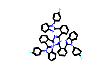 Fc1ccc(-n2c(-c3ccccc3-c3nc(-c4ccccc4-c4nc5ccccc5n4-c4ccc(F)cc4)nc(-c4ccccc4-c4nc5ccccc5n4-c4ccc(F)cc4)n3)nc3ccccc32)cc1